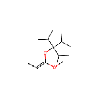 CC=C(OC)O[Si](C(C)C)(C(C)C)C(C)C